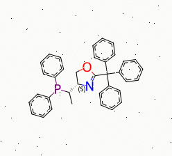 CC([C@@H]1COC(C(c2ccccc2)(c2ccccc2)c2ccccc2)=N1)P(c1ccccc1)c1ccccc1